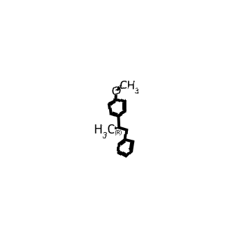 COc1ccc([C@H](C)Cc2ccccc2)cc1